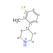 Cc1c(F)cccc1C1CCNCC1